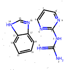 N=C(N)Nc1ncccn1.c1ccc2[nH]cnc2c1